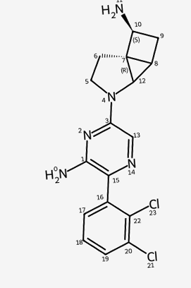 Nc1nc(N2CC[C@@]34C(C[C@@H]3N)C24)cnc1-c1cccc(Cl)c1Cl